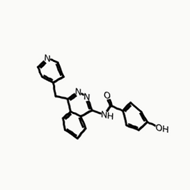 O=C(Nc1nnc(Cc2ccncc2)c2ccccc12)c1ccc(O)cc1